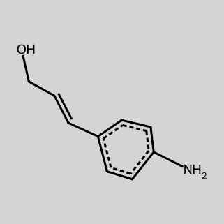 Nc1ccc(/C=C/CO)cc1